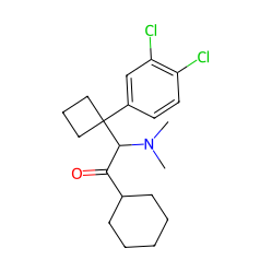 CN(C)C(C(=O)C1CCCCC1)C1(c2ccc(Cl)c(Cl)c2)CCC1